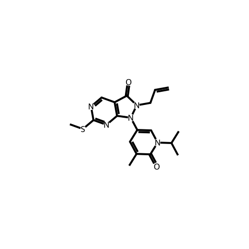 C=CCn1c(=O)c2cnc(SC)nc2n1-c1cc(C)c(=O)n(C(C)C)c1